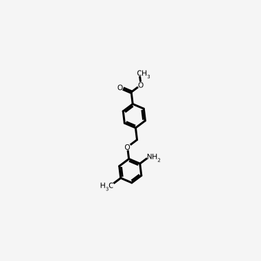 COC(=O)c1ccc(COc2cc(C)ccc2N)cc1